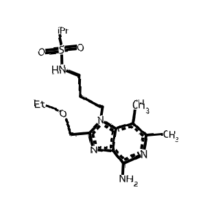 CCOCc1nc2c(N)nc(C)c(C)c2n1CCCNS(=O)(=O)C(C)C